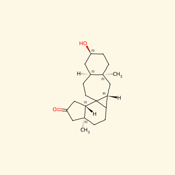 C[C@@]12CC[C@H](O)C[C@@H]1CCC13C(CC[C@@]4(C)CC(=O)C[C@H]14)[C@H]3C2